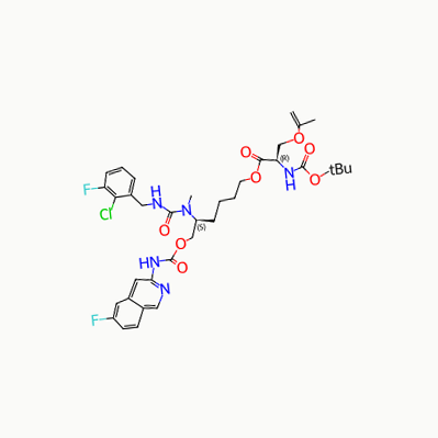 C=C(C)OC[C@@H](NC(=O)OC(C)(C)C)C(=O)OCCCC[C@@H](COC(=O)Nc1cc2cc(F)ccc2cn1)N(C)C(=O)NCc1cccc(F)c1Cl